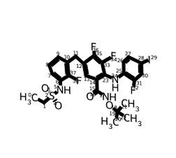 CCS(=O)(=O)Nc1cccc(Cc2cc(C(=O)NOC(C)(C)C)c(Nc3ccc(I)cc3F)c(F)c2F)c1F